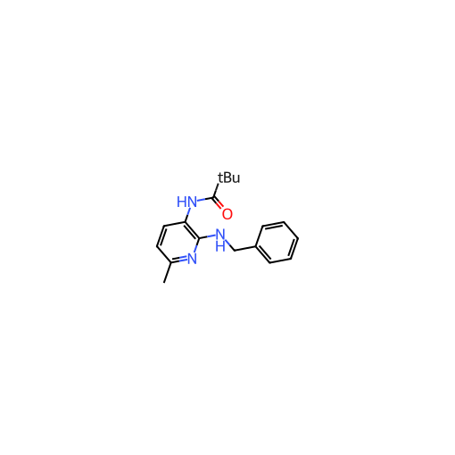 Cc1ccc(NC(=O)C(C)(C)C)c(NCc2ccccc2)n1